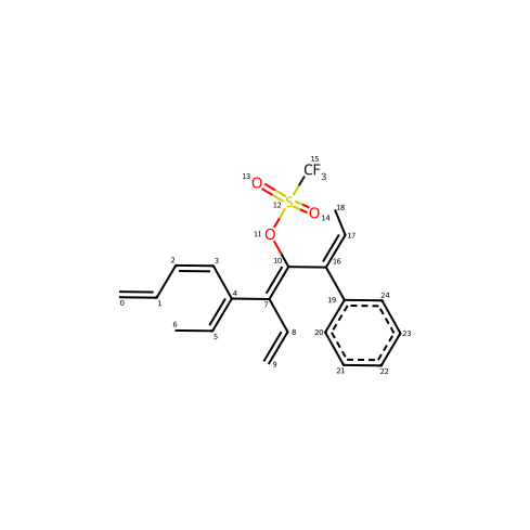 C=C\C=C/C(=C\C)C(/C=C)=C(OS(=O)(=O)C(F)(F)F)/C(=C\C)c1ccccc1